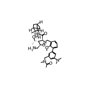 COc1c(CN2O[C@@H](CN)[C@H]([C@H](C)O)[C@H]2C(=O)N[C@H]2C[C@H]3C[C@@H]([C@@H]2C)C3(C)C)cccc1-c1cc(CN(C)C(C)=O)cc(N(C)C)c1